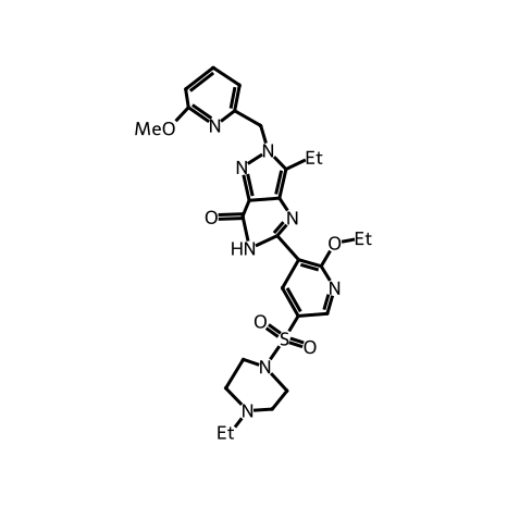 CCOc1ncc(S(=O)(=O)N2CCN(CC)CC2)cc1-c1nc2c(CC)n(Cc3cccc(OC)n3)nc2c(=O)[nH]1